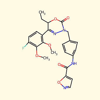 CCC1OC(=O)N(Cc2ccc(NC(=O)c3ccno3)cc2)N=C1c1ccc(F)c(OC)c1OC